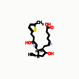 B=C[C@@H]1CC(O)[C@H](C/C=C\CCCC(=O)O)[C@H]1/C=C/[C@@H](O)CCc1ccc(C)s1